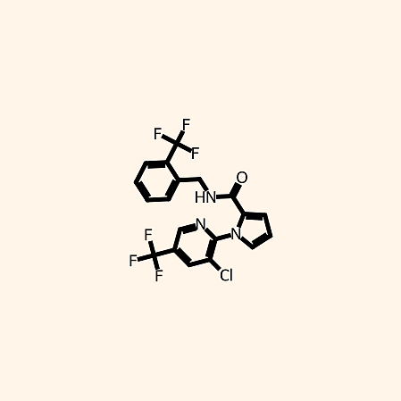 O=C(NCc1ccccc1C(F)(F)F)c1cccn1-c1ncc(C(F)(F)F)cc1Cl